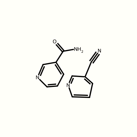 N#Cc1cccnc1.NC(=O)c1cccnc1